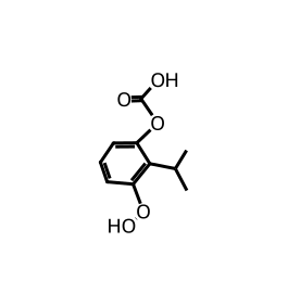 CC(C)c1c(OO)cccc1OC(=O)O